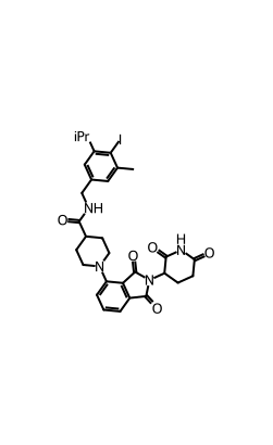 Cc1cc(CNC(=O)C2CCN(c3cccc4c3C(=O)N(C3CCC(=O)NC3=O)C4=O)CC2)cc(C(C)C)c1I